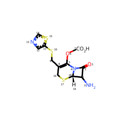 NC1C(=O)N2C(OC(=O)O)=C(CSc3cncs3)CS[C@@H]12